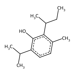 CCC(C)c1c(C)ccc(C(C)C)c1O